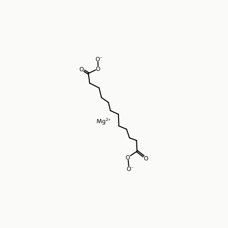 O=C(CCCCCCCCCCC(=O)O[O-])O[O-].[Mg+2]